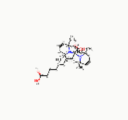 CC1(C)C#CCC(C)(C)N1C(CCCCCCCC(=O)O)(C(=O)O)N1C(C)(C)C#CCC1(C)C